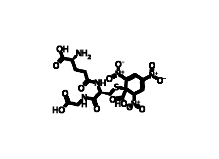 N[C@@H](CCC(=O)N[C@@H](CSC1(C(=O)O)C([N+](=O)[O-])=CC([N+](=O)[O-])=CC1[N+](=O)[O-])C(=O)NCC(=O)O)C(=O)O